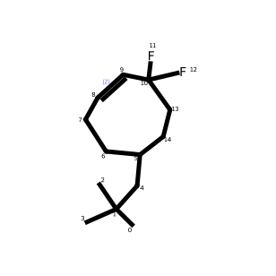 CC(C)(C)CC1CC/C=C\C(F)(F)CC1